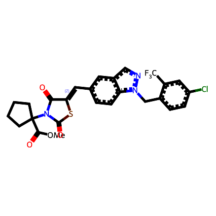 COC(=O)C1(N2C(=O)S/C(=C\c3ccc4c(cnn4Cc4ccc(Cl)cc4C(F)(F)F)c3)C2=O)CCCC1